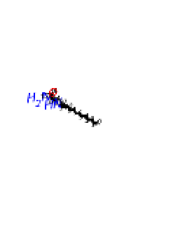 CCCCCCCCCCCCCNCCC(N)=O